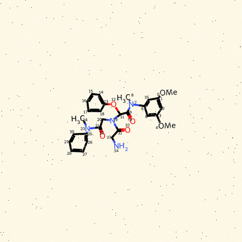 COc1cc(OC)cc(N(C)C(=O)C(Oc2ccccc2)N(CC(=O)N(C)c2ccccc2)C(=O)CN)c1